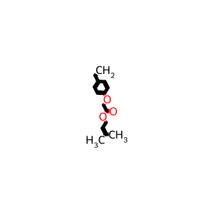 C=Cc1ccc(OCC(=O)OCC=C(C)C)cc1